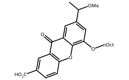 CCCCCCCCOc1cc(C(C)OC)cc2c(=O)c3cc(C(=O)O)ccc3oc12